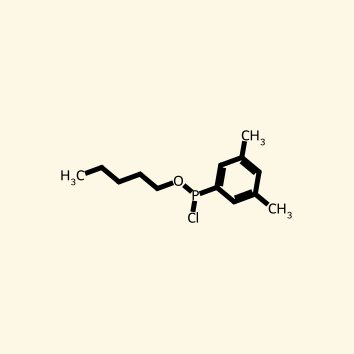 CCCCCOP(Cl)c1cc(C)cc(C)c1